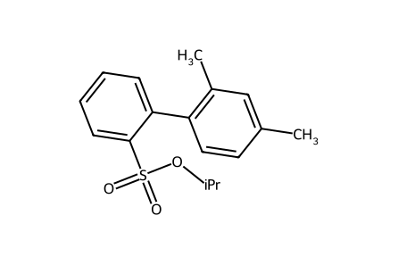 Cc1ccc(-c2ccccc2S(=O)(=O)OC(C)C)c(C)c1